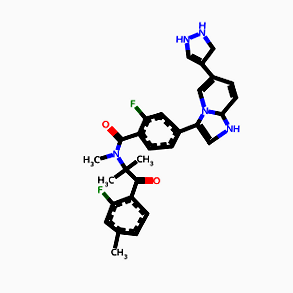 Cc1ccc(C(=O)C(C)(C)N(C)C(=O)c2ccc(C3=CNC4C=CC(C5=CNNC5)=CN34)cc2F)c(F)c1